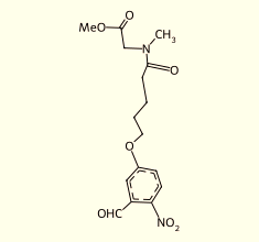 COC(=O)CN(C)C(=O)CCCCOc1ccc([N+](=O)[O-])c(C=O)c1